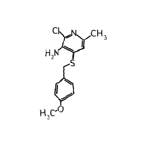 COc1ccc(CSc2cc(C)nc(Cl)c2N)cc1